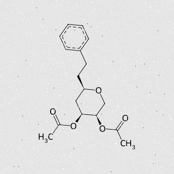 CC(=O)O[C@H]1C[C@@H](CCc2ccccc2)OC[C@H]1OC(C)=O